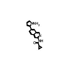 Nn1cccc1-c1ccc2cc(NC(=O)C3CC3)ncc2c1